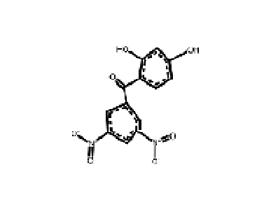 O=C(c1cc([N+](=O)[O-])cc([N+](=O)[O-])c1)c1ccc(O)cc1O